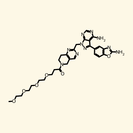 COCCOCCOCCOCCC(=O)N1CCc2nc(Cn3nc(-c4ccc5oc(N)nc5c4)c4c(N)ncnc43)ncc2C1